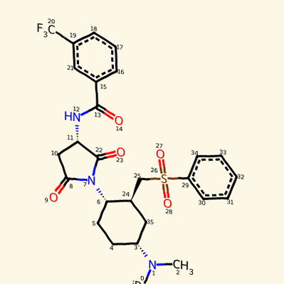 CC(C)N(C)[C@@H]1CC[C@H](N2C(=O)C[C@H](NC(=O)c3cccc(C(F)(F)F)c3)C2=O)[C@@H](CS(=O)(=O)c2ccccc2)C1